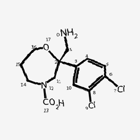 NC[C@@]1(c2ccc(Cl)c(Cl)c2)CN(C(=O)O)CCCO1